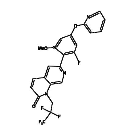 CO[n+]1cc(Oc2ccccn2)cc(F)c1-c1cc2ccc(=O)n(CC(F)(F)C(F)(F)F)c2cn1